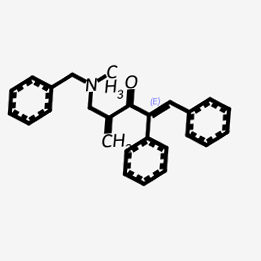 C=C(CN(C)Cc1ccccc1)C(=O)/C(=C/c1ccccc1)c1ccccc1